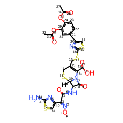 CON=C(C(=O)N[C@@H]1C(=O)N2C(C(=O)O)=C(CSc3nc(-c4ccc(OC(C)=O)c(OC(C)=O)c4)cs3)CS[C@@H]12)c1csc(N)n1